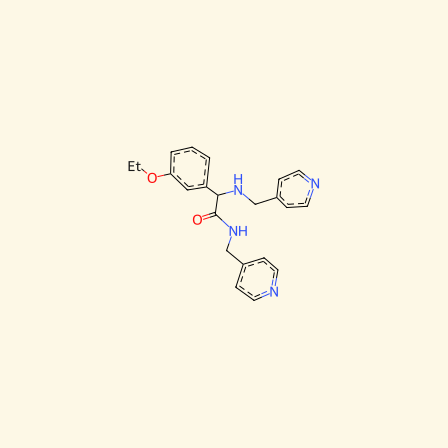 CCOc1cccc(C(NCc2ccncc2)C(=O)NCc2ccncc2)c1